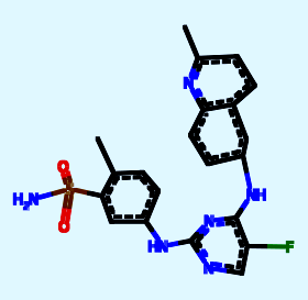 Cc1ccc2cc(Nc3nc(Nc4ccc(C)c(S(N)(=O)=O)c4)ncc3F)ccc2n1